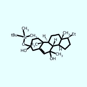 CC[C@H]1CC[C@H]2[C@H]3[C@H](CC[C@]12C)[C@@]1(C)CCC(O)(O[Si](C)(C)C(C)(C)C)CC1=CC3(C)O